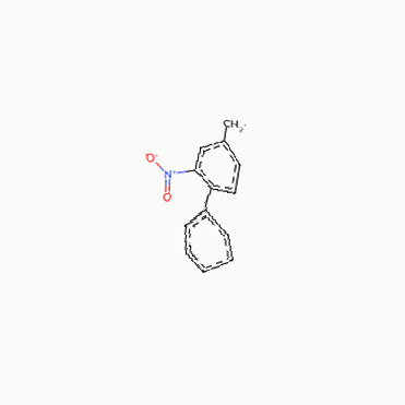 [CH2]c1ccc(-c2ccccc2)c([N+](=O)[O-])c1